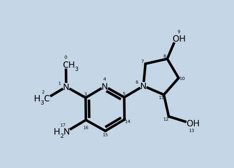 CN(C)c1nc(N2CC(O)CC2CO)ccc1N